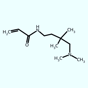 C=CC(=O)NCCC(C)(C)CN(C)C